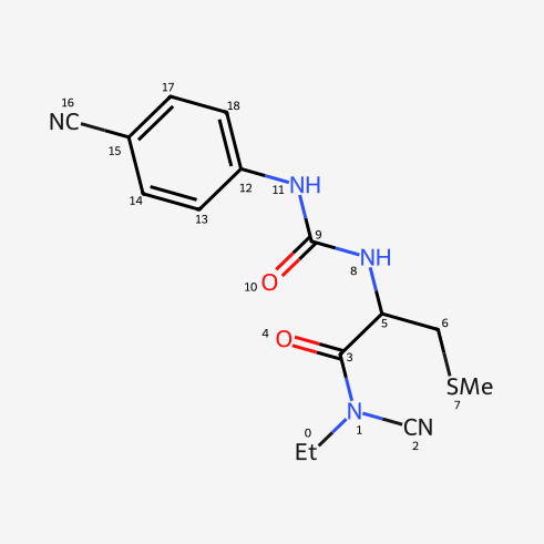 CCN(C#N)C(=O)C(CSC)NC(=O)Nc1ccc(C#N)cc1